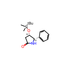 CC(C)(C)[Si](C)(C)O[C@H]1CC(=O)N[C@H]1c1ccccc1